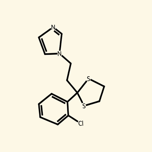 Clc1ccccc1C1(CCn2ccnc2)SCCS1